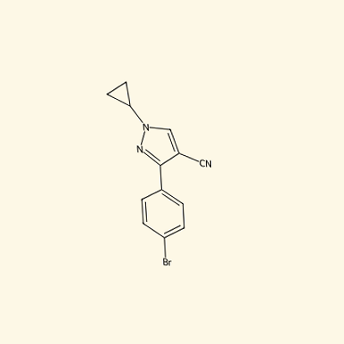 N#Cc1cn(C2CC2)nc1-c1ccc(Br)cc1